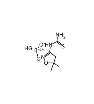 CC1(C)CC(NC(N)=S)=NO1.[O-][Br+2]([O-])O